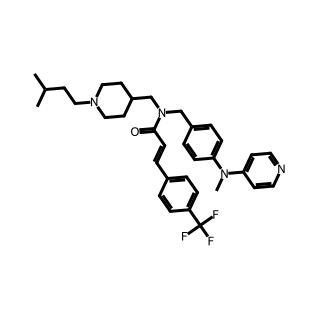 CC(C)CCN1CCC(CN(Cc2ccc(N(C)c3ccncc3)cc2)C(=O)C=Cc2ccc(C(F)(F)F)cc2)CC1